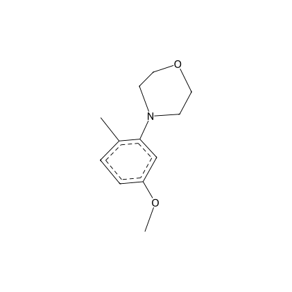 COc1ccc(C)c(N2CCOCC2)c1